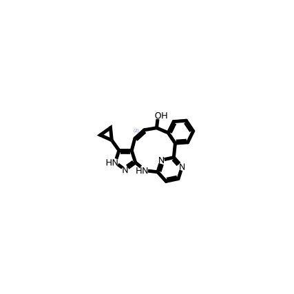 OC1/C=C\c2c(n[nH]c2C2CC2)Nc2ccnc(n2)-c2ccccc21